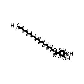 CCCCCCCCCCCCCCCCCCOC(=O)c1ccc(O)c(O)c1